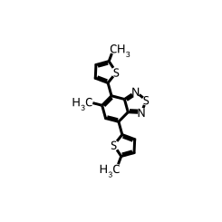 Cc1ccc(-c2cc(C)c(-c3ccc(C)s3)c3nsnc23)s1